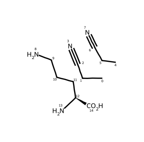 CCC#N.CCC#N.NCCC[C@H](N)C(=O)O